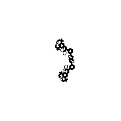 CC1(C)CCN2CCC(C)(C)c3c2c1cc1cc(-c2cccc(-c4cc5sc(-c6cccc(-c7cc8cc9c%10c(c8oc7=O)C(C)(C)CCN%10CCC9(C)C)c6)cc5s4)c2)c(=O)oc31